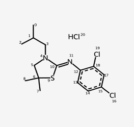 CC(C)CN1CC(C)(C)S/C1=N\c1ccc(Cl)cc1Cl.Cl